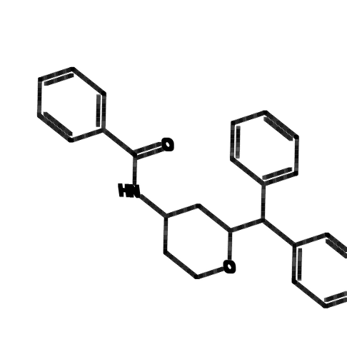 O=C(NC1CCOC(C(c2ccccc2)c2ccccc2)C1)c1ccccc1